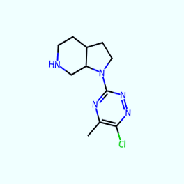 Cc1nc(N2CCC3CCNCC32)nnc1Cl